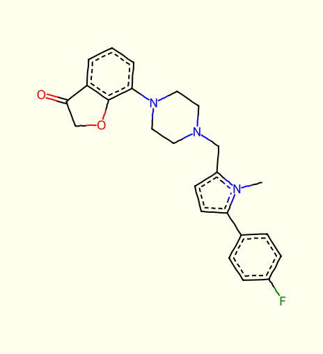 Cn1c(CN2CCN(c3cccc4c3OCC4=O)CC2)ccc1-c1ccc(F)cc1